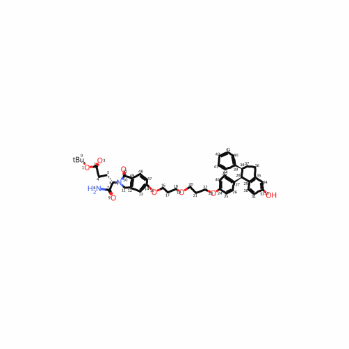 CC(C)(C)OC(=O)CC[C@@H](C(N)=O)N1Cc2cc(OCCCOCCCOc3ccc([C@@H]4c5ccc(O)cc5CC[C@@H]4c4ccccc4)cc3)ccc2C1=O